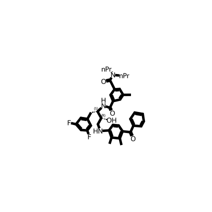 CCCN(CCC)C(=O)c1cc(C)cc(C(=O)N[C@@H](Cc2cc(F)cc(F)c2)[C@H](O)CNc2ccc(C(=O)c3ccccc3)c(C)c2C)c1